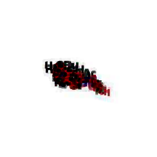 CC(=O)O[C@H]1C(=O)[C@@]2(C)C([C@H](OC(=O)c3ccccc3)[C@]3(O)C[C@H](OC(=O)[C@H](O[Si](C)(C)C(C)(C)C)[C@@H](NC(=O)c4ccccc4)c4ccccc4)C(C)=C1C3(C)C)[C@]1(OC(C)=O)CO[C@@H]1C[C@@H]2OC(=O)CCCNC(=O)c1cc2ccc(O)c(F)c2oc1=O